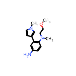 COCCN(C)c1ccc(N)cc1-c1ccn(C)c1